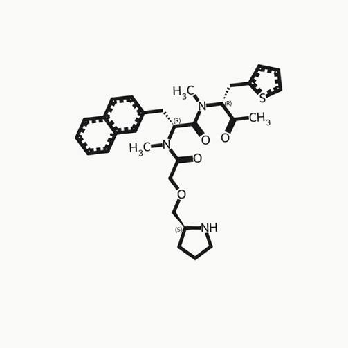 CC(=O)[C@@H](Cc1cccs1)N(C)C(=O)[C@@H](Cc1ccc2ccccc2c1)N(C)C(=O)COC[C@@H]1CCCN1